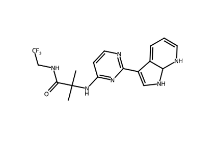 CC(C)(Nc1ccnc(C2=CNC3NC=CC=C23)n1)C(=O)NCC(F)(F)F